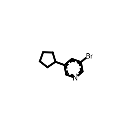 Brc1cncc(C2CCCC2)c1